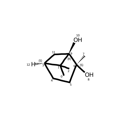 CC1(C)[C@H]2CC[C@](C)(O)[C@@]1(O)C2